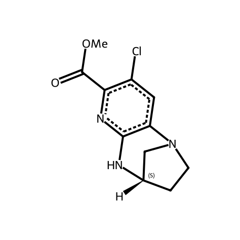 COC(=O)c1nc2c(cc1Cl)N1CC[C@@H](C1)N2